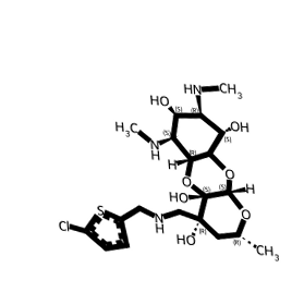 CN[C@@H]1[C@H](O)[C@H](NC)[C@H]2O[C@]3(O)[C@H](OC2[C@H]1O)O[C@H](C)C[C@@]3(O)CNCc1ccc(Cl)s1